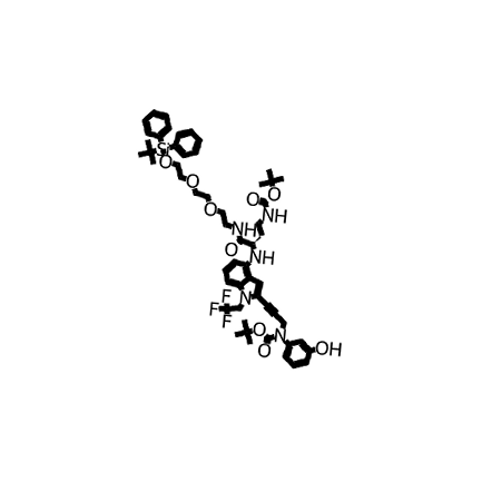 CC(C)(C)OC(=O)NCC[C@H](Nc1cccc2c1cc(C#CCN(C(=O)OC(C)(C)C)c1cccc(O)c1)n2CC(F)(F)F)C(=O)NCCOCCOCCO[Si](c1ccccc1)(c1ccccc1)C(C)(C)C